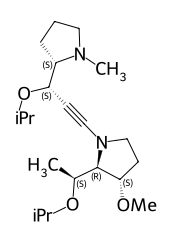 CO[C@H]1CCN(C#C[C@H](OC(C)C)[C@@H]2CCCN2C)[C@@H]1[C@H](C)OC(C)C